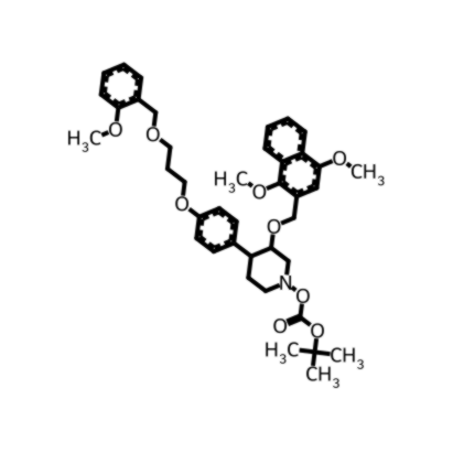 COc1ccccc1COCCCOc1ccc(C2CCN(OC(=O)OC(C)(C)C)CC2OCc2cc(OC)c3ccccc3c2OC)cc1